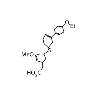 CCOC1CC=C(C2=CCCC(SC3CC(OC)=CC(CC(=O)O)C3)C2)CC1